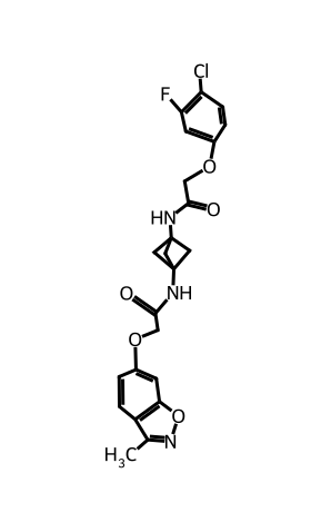 Cc1noc2cc(OCC(=O)NC34CC(NC(=O)COc5ccc(Cl)c(F)c5)(C3)C4)ccc12